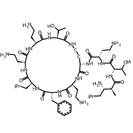 CC(C)C[C@@H]1NC(=O)[C@@H](Cc2ccccc2)NC(=O)[C@H](CCN)NC(=O)[C@@H](NC(=O)[C@H](CCN)NC(=O)[C@@H](NC(=O)[C@@H](C)[C@@H](N)CC(C)C)C(C)O)CCNC(=O)[C@H](C(C)O)NC(=O)[C@H](CCN)NC(=O)[C@H](CCN)NC1=O